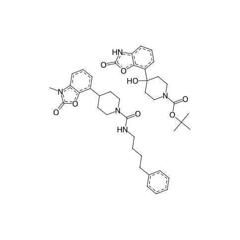 CC(C)(C)OC(=O)N1CCC(O)(c2cccc3[nH]c(=O)oc23)CC1.Cn1c(=O)oc2c(C3CCN(C(=O)NCCCCc4ccccc4)CC3)cccc21